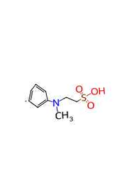 CN(CCS(=O)(=O)O)c1c[c]ccc1